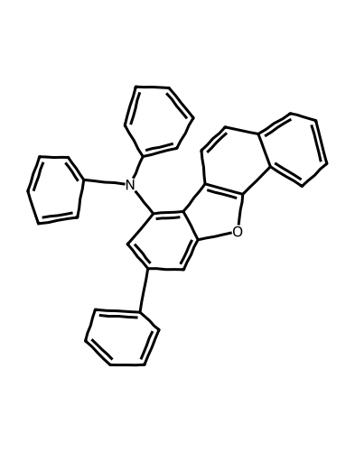 c1ccc(-c2cc(N(c3ccccc3)c3ccccc3)c3c(c2)oc2c4ccccc4ccc23)cc1